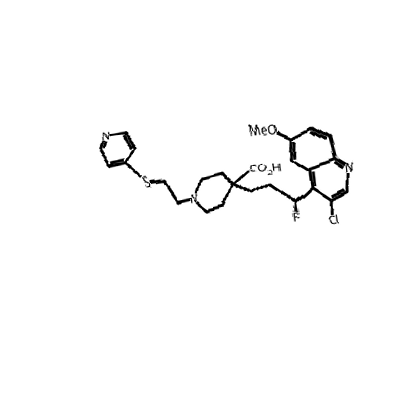 COc1ccc2ncc(Cl)c([C@@H](F)CCC3(C(=O)O)CCN(CCSc4ccncc4)CC3)c2c1